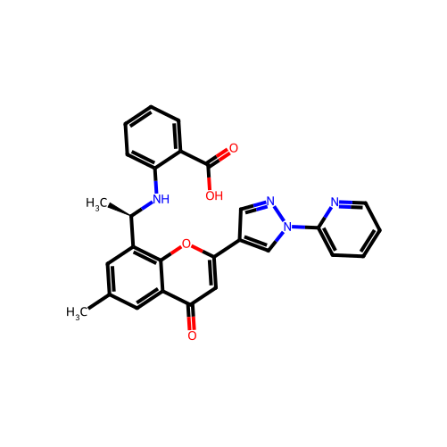 Cc1cc([C@@H](C)Nc2ccccc2C(=O)O)c2oc(-c3cnn(-c4ccccn4)c3)cc(=O)c2c1